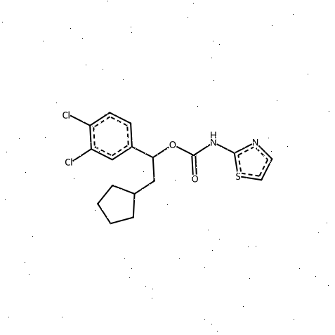 O=C(Nc1nccs1)OC(CC1CCCC1)c1ccc(Cl)c(Cl)c1